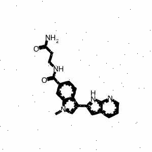 Cn1cc(-c2cc3cccnc3[nH]2)c2ccc(C(=O)NCCC(N)=O)cc21